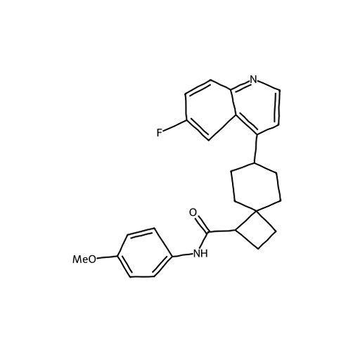 COc1ccc(NC(=O)C2CCC23CCC(c2ccnc4ccc(F)cc24)CC3)cc1